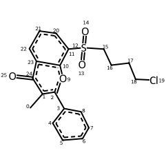 Cc1c(-c2ccccc2)oc2c(S(=O)(=O)CCCCCl)cccc2c1=O